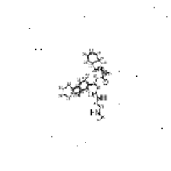 CCNCCNC(=O)CN(CC(=O)N(C)N1Cc2ccccc2C1)c1cc2nn3c(c2cc1C)CCCC3